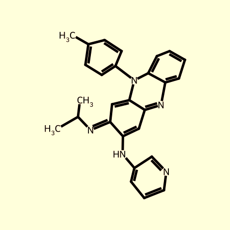 Cc1ccc(-n2c3c/c(=N\C(C)C)c(Nc4cccnc4)cc-3nc3ccccc32)cc1